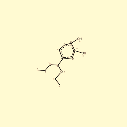 CCOC(OCC)c1ccc(O)c(O)c1